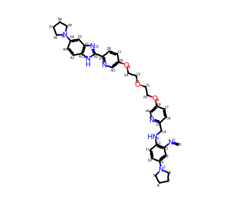 C=Nc1cc(N2CCCC2)ccc1NCc1ccc(OCCOCCOc2ccc(-c3nc4cc(N5CCCC5)ccc4[nH]3)nc2)cn1